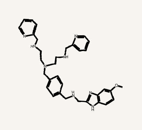 COc1ccc2[nH]c(CNCc3ccc(CN(CCNCc4ccccn4)CCNCc4ccccn4)cc3)nc2c1